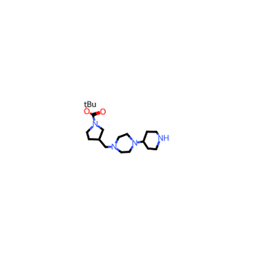 CC(C)(C)OC(=O)N1CCC(CN2CCN(C3CCNCC3)CC2)C1